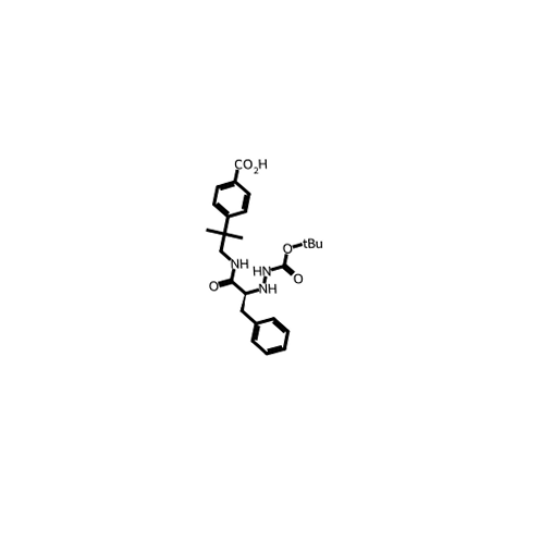 CC(C)(C)OC(=O)NN[C@@H](Cc1ccccc1)C(=O)NCC(C)(C)c1ccc(C(=O)O)cc1